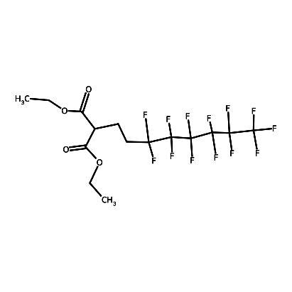 CCOC(=O)C(CCC(F)(F)C(F)(F)C(F)(F)C(F)(F)C(F)(F)C(F)(F)F)C(=O)OCC